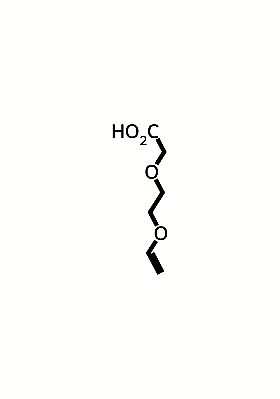 C=COCCOCC(=O)O